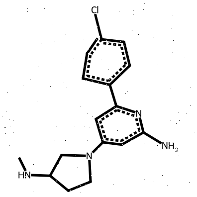 CNC1CCN(c2cc(N)nc(-c3ccc(Cl)cc3)c2)C1